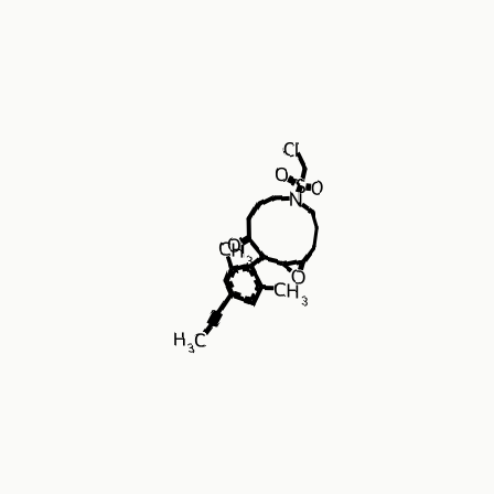 CC#Cc1cc(C)c(C2C(=O)CCCN(S(=O)(=O)CCl)CCCC3OC32)c(C)c1